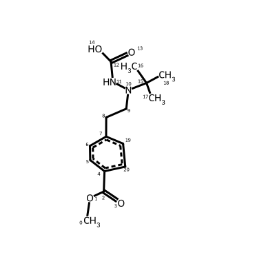 COC(=O)c1ccc(CCN(NC(=O)O)C(C)(C)C)cc1